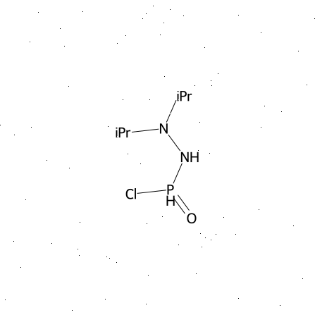 CC(C)N(N[PH](=O)Cl)C(C)C